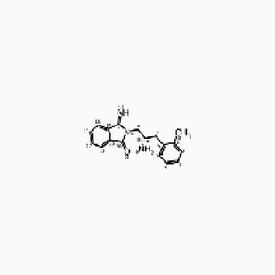 Cc1ccccc1C[C@H](N)CN1C(=N)c2ccccc2C1=O